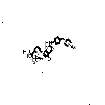 C=CCn1c(=O)c2cnc(Nc3ccc(CN4CCN(C(C)=O)CC4)cc3)nc2n1-c1cccc(C(C)(C)O)n1